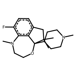 CN1CCC(C23OCCN(C)c4c(F)ccc(c42)CC3(C)C)CC1